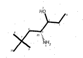 CCC(O)[C@H](N)CC(C)(C)C